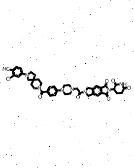 N#Cc1ccc(N2CCC3(CCN(C(=O)c4ccc(N5CCN(CC(=O)N6Cc7cc8c(cc7C6)C(=O)N(C6CCC(=O)NC6=O)C8=O)CC5)cc4)CC3)C2)cc1Cl